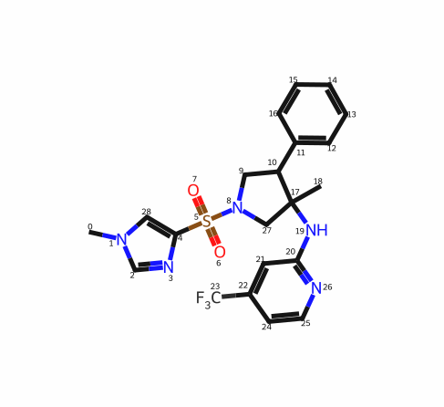 Cn1cnc(S(=O)(=O)N2CC(c3ccccc3)C(C)(Nc3cc(C(F)(F)F)ccn3)C2)c1